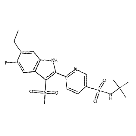 CCc1cc2[nH]c(-c3ccc(S(=O)(=O)NC(C)(C)C)cn3)c(S(C)(=O)=O)c2cc1F